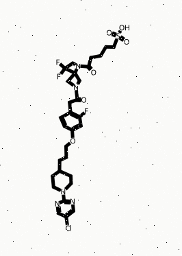 O=C(Cc1ccc(OCCCC2CCN(c3ncc(Cl)cn3)CC2)cc1F)N1CC2(C1)N(C(=O)CCCCS(=O)(=O)O)CC2(F)F